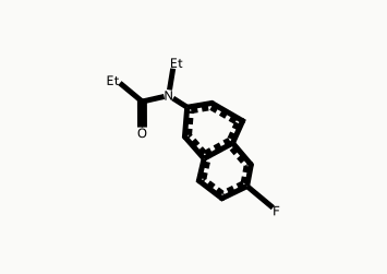 CCC(=O)N(CC)c1ccc2cc(F)ccc2c1